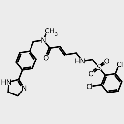 CN(Cc1ccc(C2=NCCN2)cc1)C(=O)/C=C/CNCS(=O)(=O)c1c(Cl)cccc1Cl